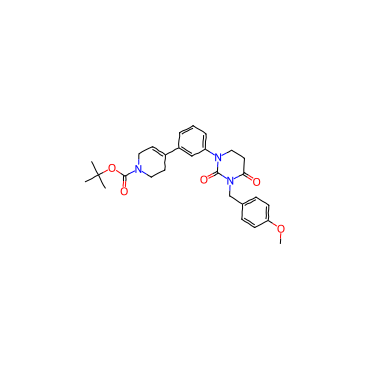 COc1ccc(CN2C(=O)CCN(c3cccc(C4=CCN(C(=O)OC(C)(C)C)CC4)c3)C2=O)cc1